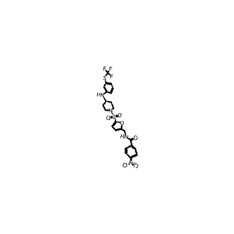 O=C(NCc1ccc(S(=O)(=O)N2CCC(Nc3cccc(SC(F)(F)F)c3)CC2)o1)c1ccc([N+](=O)[O-])cc1